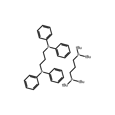 CC(C)(C)P(CCCP(C(C)(C)C)C(C)(C)C)C(C)(C)C.c1ccc(P(CCCP(c2ccccc2)c2ccccc2)c2ccccc2)cc1